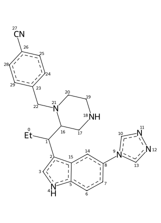 CCC(c1c[nH]c2ccc(-n3cnnc3)cc12)C1CNCCN1Cc1ccc(C#N)cc1